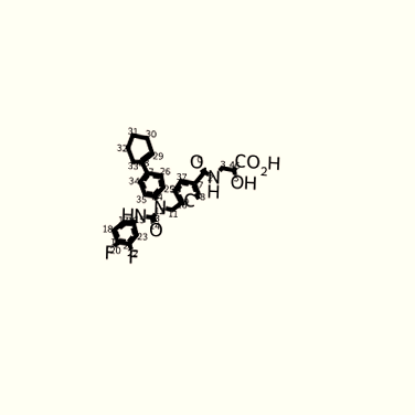 O=C(NCC(O)C(=O)O)c1ccc(CN(C(=O)Nc2ccc(F)c(F)c2)c2ccc(C3=CCCCC3)cc2)cc1